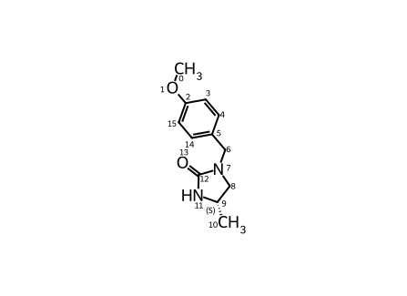 COc1ccc(CN2C[C@H](C)NC2=O)cc1